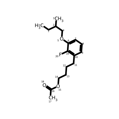 CCC(C)COc1cccc(CCCCOC(C)=O)c1F